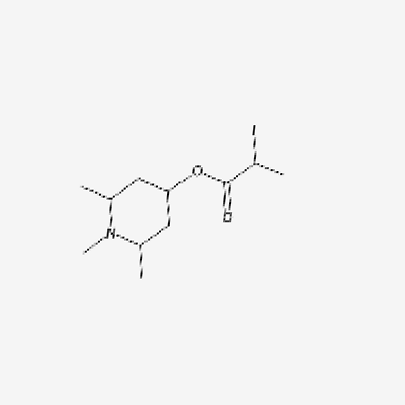 CC(I)C(=O)OC1CC(C)N(C)C(C)C1